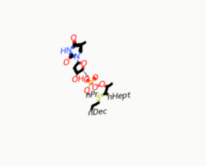 CCCCCCCCCCCCSC(CCCCCCC)C(C)OOP(=O)(OCCC)OC[C@H]1O[C@@H](n2cc(C)c(=O)[nH]c2=O)C[C@@H]1O